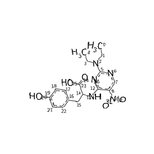 CCN(CC)c1ncc([N+](=O)[O-])c(NC(Cc2ccc(O)cc2)C(=O)O)n1